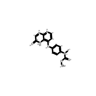 CC(C)(C)OC(=O)N(F)c1ccc(Oc2ccnc3ncc(=O)[nH]c23)cc1